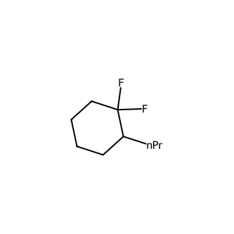 [CH2]CCC1CCCCC1(F)F